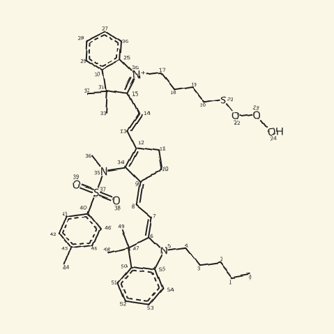 CCCCCN1/C(=C/C=C2\CCC(/C=C/C3=[N+](CCCCSOOO)c4ccccc4C3(C)C)=C2N(C)S(=O)(=O)c2ccc(C)cc2)C(C)(C)c2ccccc21